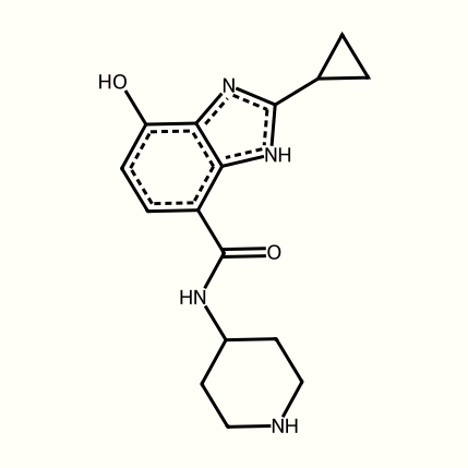 O=C(NC1CCNCC1)c1ccc(O)c2nc(C3CC3)[nH]c12